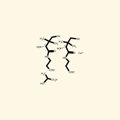 CC(C)(CO)[C@@H](O)C(=O)NCCC(=O)[O-].CC(C)(CO)[C@@H](O)C(=O)NCCC(=O)[O-].CC(O)C(=O)O.[Ca+2]